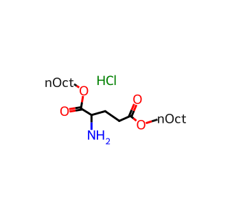 CCCCCCCCOC(=O)CCC(N)C(=O)OCCCCCCCC.Cl